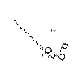 Br.CCCCCCCCCCCCCCOc1ccc(CN(C(C)=O)c2ccccc2CN2C=C(C)SC2)cc1F